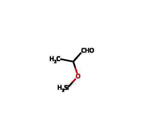 CC(C=O)O[SiH3]